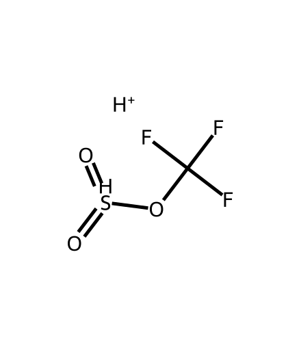 O=[SH](=O)OC(F)(F)F.[H+]